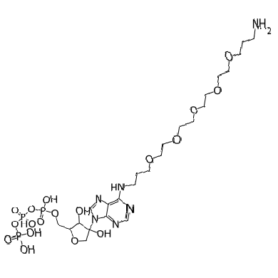 NCCCOCCOCCOCCOCCOCCCNc1ncnc2c1ncn2C1(O)COC(COP(=O)(O)OP(=O)(O)OP(=O)(O)O)C1O